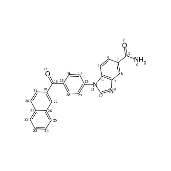 NC(=O)c1ccc2c(c1)ncn2-c1ccc(C(=O)c2ccc3ccccc3c2)cc1